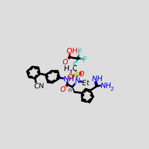 CCN([C@@H](Cc1cccc(C(=N)N)c1)C(=O)Nc1ccc(-c2ccccc2C#N)cc1)S(C)(=O)=O.O=C(O)C(F)(F)F